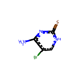 Nc1nc(=S)[nH]cc1Br